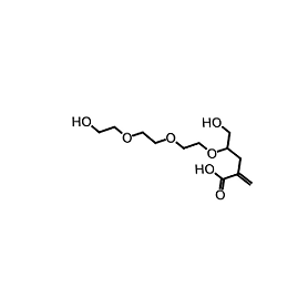 C=C(CC(CO)OCCOCCOCCO)C(=O)O